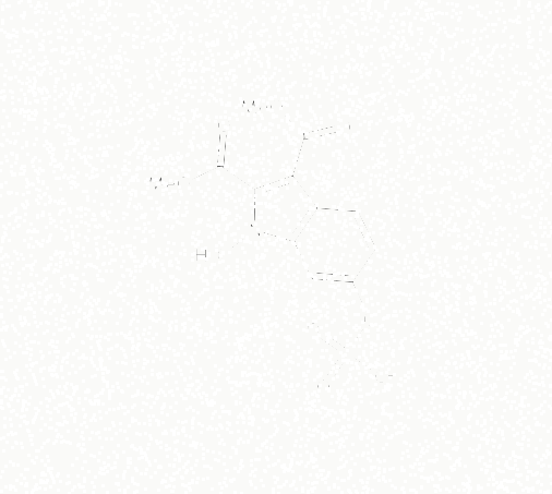 COC(=O)c1c(C(=O)OC)n(C)c2cc(OS(=O)(=O)C(F)(F)F)ccc12